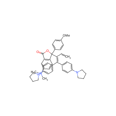 C=CC(=C(c1ccc(N2CCCC2)cc1)c1ccc(N2CCCC2)cc1)C1(c2ccc(OC)cc2)OC(=O)c2cc(N(C)C)ccc21